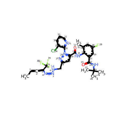 CC=C=C(/N=N\NCc1cc(C(=O)Nc2c(C)cc(F)cc2C(=O)NC(C)(C)C)n(-c2ncccc2Cl)n1)C(F)(F)F